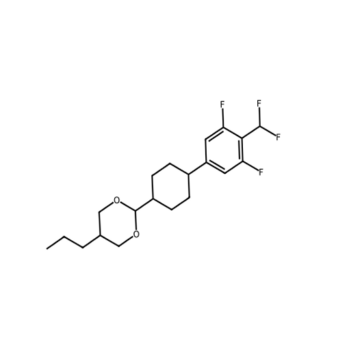 CCCC1COC(C2CCC(c3cc(F)c(C(F)F)c(F)c3)CC2)OC1